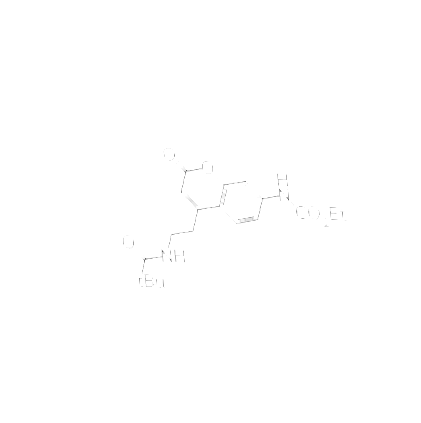 CCOC(=O)Nc1ccc2c(CCNC(=O)C(C)(C)C)cc(=O)oc2c1